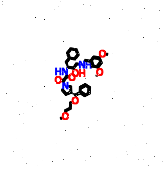 COCCCOC(c1ccccc1)[C@@H]1CCN(C(=O)C(=O)N[C@@H](CC2CCCCC2)[C@@H](O)CNCc2cc(OC)cc(OC)c2)C1